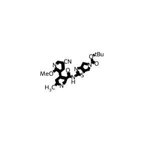 COc1ncc(C#N)cc1-c1cc(C)ncc1C(=O)Nc1nc2c(s1)CN(C(=O)OC(C)(C)C)C2